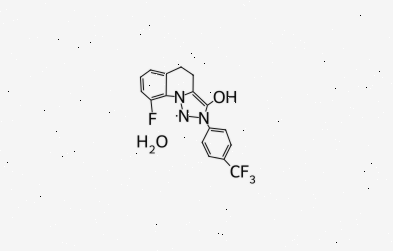 O.OC1=C2CCc3cccc(F)c3N2[N]N1c1ccc(C(F)(F)F)cc1